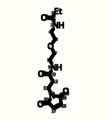 CCC(=O)NCCOCCNC(=O)CCN1C(=O)C=CC1=O